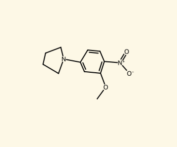 COc1cc(N2CCCC2)ccc1[N+](=O)[O-]